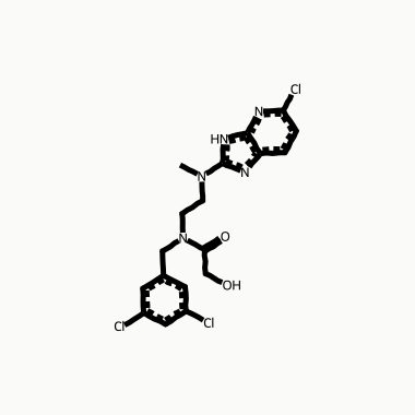 CN(CCN(Cc1cc(Cl)cc(Cl)c1)C(=O)CO)c1nc2ccc(Cl)nc2[nH]1